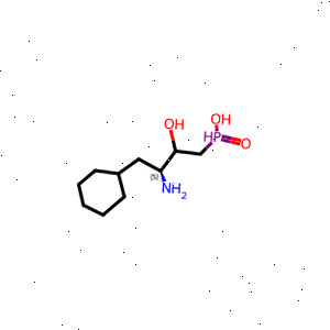 N[C@@H](CC1CCCCC1)C(O)C[PH](=O)O